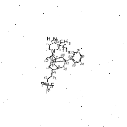 CC1(C)CN(C(=S)C23CC4CC(c5ccccc5)(CC(C2)C4=CCC(F)(F)F)C3)CC[C@@H]1N